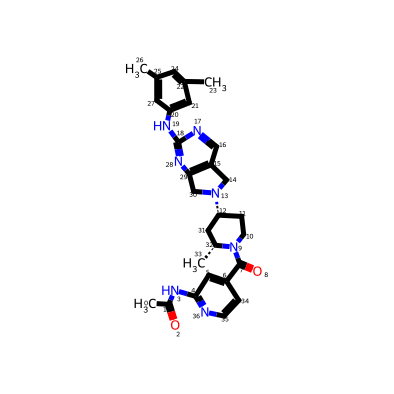 CC(=O)Nc1cc(C(=O)N2CC[C@@H](N3Cc4cnc(Nc5cc(C)cc(C)c5)nc4C3)C[C@H]2C)ccn1